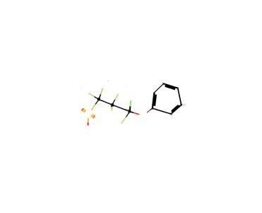 O=S(=O)(O)C(F)(F)C(F)(F)C(F)(F)Oc1ccccc1